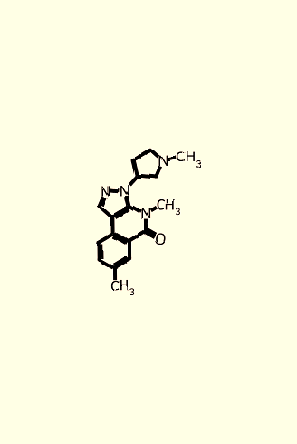 Cc1ccc2c(c1)c(=O)n(C)c1c2cnn1C1CCN(C)C1